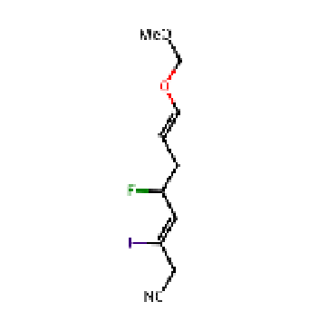 COCO/C=C/CC(F)/C=C(\I)CC#N